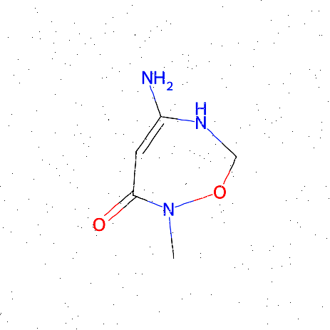 CN1OCNC(N)=CC1=O